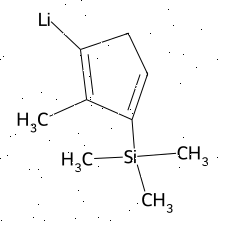 [Li][C]1=C(C)C([Si](C)(C)C)=CC1